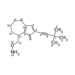 CC(C)(C)C#Cc1cc2c(s1)C(CON)CCCC2